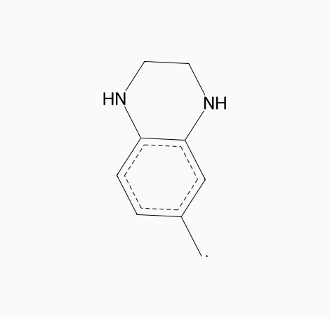 [CH2]c1ccc2c(c1)NCCN2